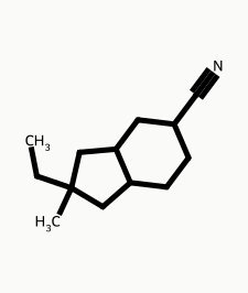 CCC1(C)CC2CCC(C#N)CC2C1